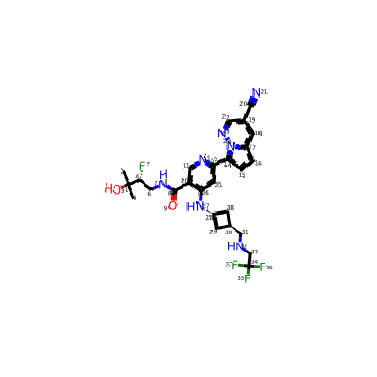 CC(C)(O)[C@H](F)CNC(=O)c1cnc(-c2ccc3cc(C#N)cnn23)cc1N[C@H]1C[C@H](CNCC(F)(F)F)C1